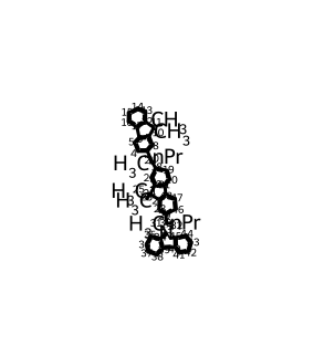 CCCC(C)(c1ccc2c(c1)C(C)(C)c1ccccc1-2)c1ccc2c(c1)C(C)(C)c1cc(C(C)(CCC)n3c4ccccc4c4ccccc43)ccc1-2